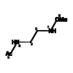 CONCCNC(C)=O